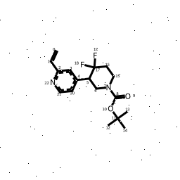 C=Cc1cc(C2CN(C(=O)OC(C)(C)C)CCC2(F)F)ccn1